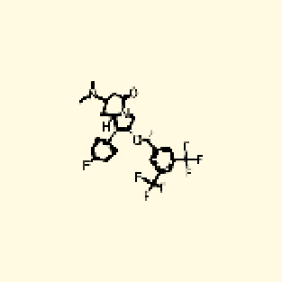 C[C@@H](O[C@H]1CN2C(=O)CC(N(C)C)C[C@H]2[C@@H]1c1ccc(F)cc1)c1cc(C(F)(F)F)cc(C(F)(F)F)c1